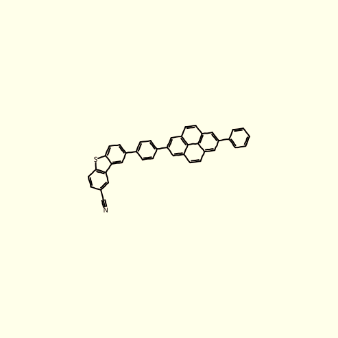 N#Cc1ccc2sc3ccc(-c4ccc(-c5cc6ccc7cc(-c8ccccc8)cc8ccc(c5)c6c78)cc4)cc3c2c1